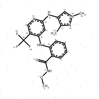 CONC(=O)c1ccccc1Nc1cc(Nc2cn(C)nc2C)ncc1C(F)(F)F